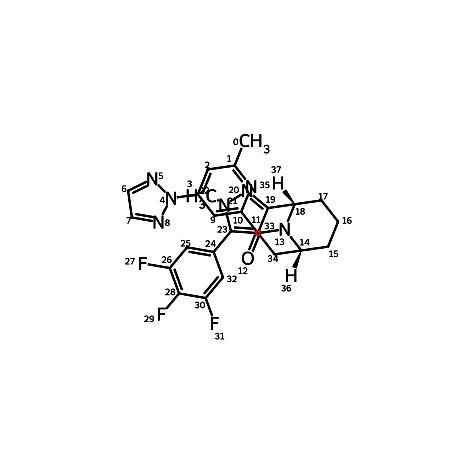 Cc1cc(-n2nccn2)cc(C(=O)N2[C@@H]3CCC[C@H]2c2nn(C)c(-c4cc(F)c(F)c(F)c4)c2C3)n1